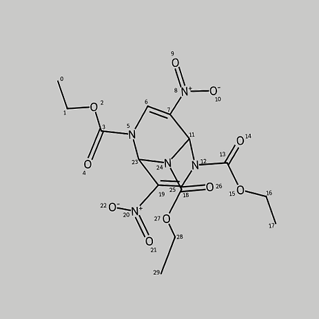 CCOC(=O)N1C=C([N+](=O)[O-])C2N(C(=O)OCC)C=C([N+](=O)[O-])C1N2C(=O)OCC